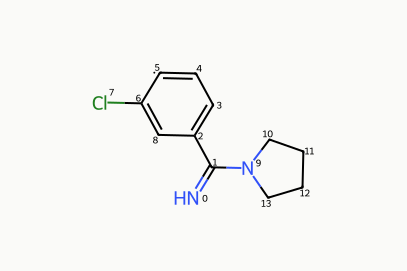 N=C(c1cc[c]c(Cl)c1)N1CCCC1